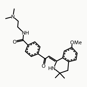 COc1ccc2c(c1)C(=CC(=O)c1ccc(C(=O)NCCN(C)C)cc1)NC(C)(C)C2